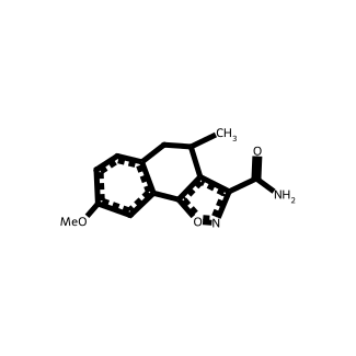 COc1ccc2c(c1)-c1onc(C(N)=O)c1C(C)C2